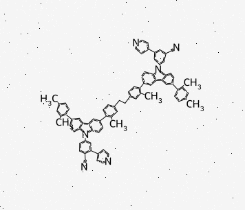 Cc1ccc(-c2ccc3c(c2)c2cc(-c4ccc(CCc5ccc(-c6ccc7c(c6)c6cc(-c8ccc(C)cc8C)ccc6n7-c6ccc(C#N)c(-c7ccncc7)c6)c(C)c5)cc4C)ccc2n3-c2cc(C#N)cc(-c3ccncc3)c2)c(C)c1